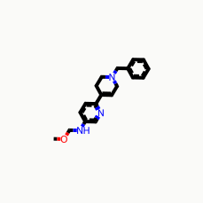 COCNc1ccc(C2=CCN(Cc3ccccc3)CC2)nc1